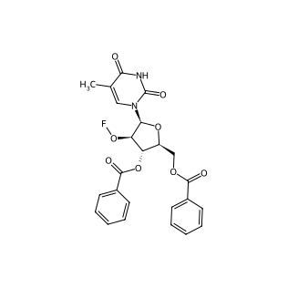 Cc1cn([C@H]2O[C@@H](COC(=O)c3ccccc3)[C@H](OC(=O)c3ccccc3)[C@H]2OF)c(=O)[nH]c1=O